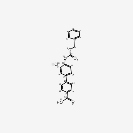 Cl.O=C(OCc1ccccc1)Oc1ccc(-c2ccc(C(=O)O)cc2)cc1